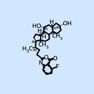 C[C@H](CCc1nc2cccc(F)c2c(=O)o1)[C@H]1CC[C@H]2[C@H]3C(CC[C@]12C)[C@@]1(C)CC[C@@H](O)C[C@H]1C[C@H]3O